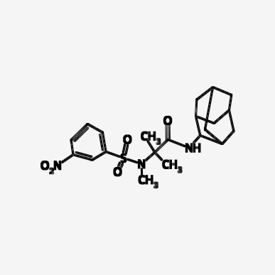 CN(C(C)(C)C(=O)NC1C2CC3CC(C2)CC1C3)S(=O)(=O)c1cccc([N+](=O)[O-])c1